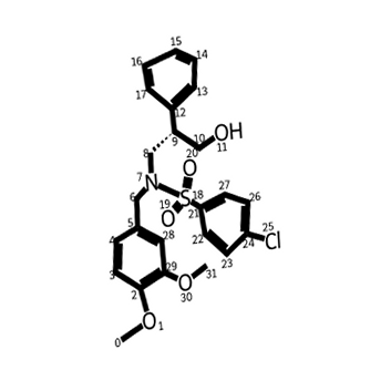 COc1ccc(CN(C[C@@H](CO)c2ccccc2)S(=O)(=O)c2ccc(Cl)cc2)cc1OC